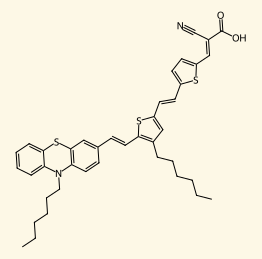 CCCCCCc1cc(/C=C/c2ccc(/C=C(\C#N)C(=O)O)s2)sc1/C=C/c1ccc2c(c1)Sc1ccccc1N2CCCCCC